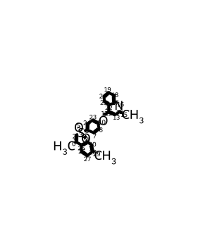 CC(=CS(=O)(=O)c1ccc(OCc2cc(C)nc3ccccc23)cc1)c1ccc(C)cc1